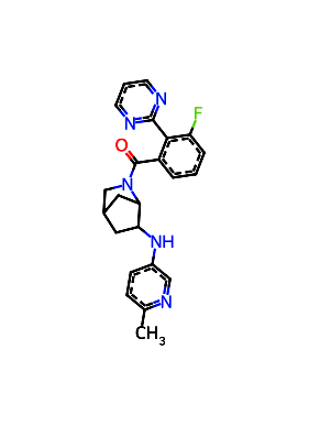 Cc1ccc(NC2CC3CC2N(C(=O)c2cccc(F)c2-c2ncccn2)C3)cn1